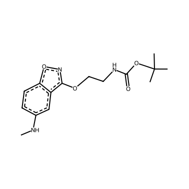 CNc1ccc2onc(OCCNC(=O)OC(C)(C)C)c2c1